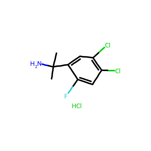 CC(C)(N)c1cc(Cl)c(Cl)cc1F.Cl